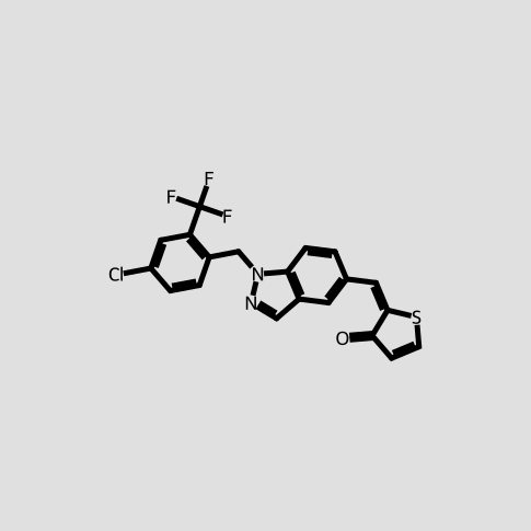 O=C1C=CSC1=Cc1ccc2c(cnn2Cc2ccc(Cl)cc2C(F)(F)F)c1